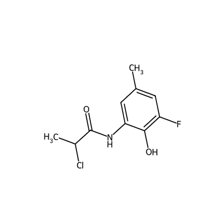 Cc1cc(F)c(O)c(NC(=O)C(C)Cl)c1